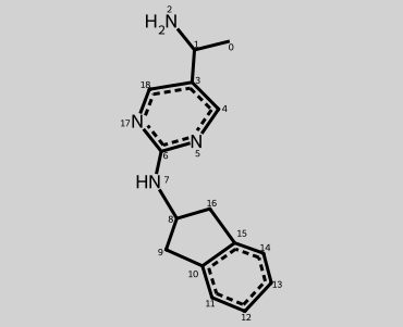 CC(N)c1cnc(NC2Cc3ccccc3C2)nc1